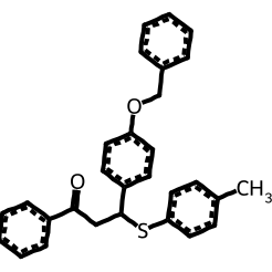 Cc1ccc(SC(CC(=O)c2ccccc2)c2ccc(OCc3ccccc3)cc2)cc1